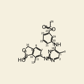 Cc1cnc(Nc2ccc3c(c2C)B(O)OC3)nc1Nc1cccc(S(C)(=O)=O)c1